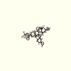 COc1ccc(CN2C(=O)C(c3c(C)cc(Br)cc3C)=C(O)CC23CCN(C(=O)OC(C)(C)C)CC3)cc1